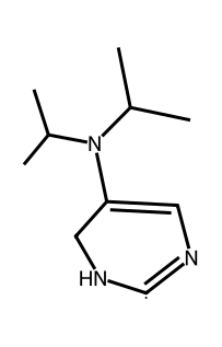 CC(C)N(C1=CN=[C]NC1)C(C)C